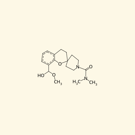 COC(O)c1cccc2c1OC1(CC2)CCN(C(=O)N(C)C)CC1